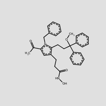 COC(CCc1c(CCC(=O)NO)cc(C(C)=O)n1Cc1ccccc1)(c1ccccc1)c1ccccc1